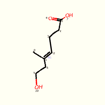 C/C(=C\CCC(=O)O)CCO